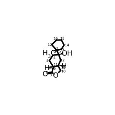 CC1([C@@]2(O)CC[C@H]3C(=O)OC[C@H]3C2)CCCCC1